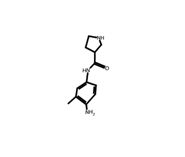 Cc1cc(NC(=O)C2CCNC2)ccc1N